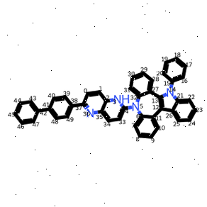 C1=CC2NC(N3c4ccccc4-c4c(n(-c5ccccc5)c5ccccc45)-c4ccccc43)=CC=C2N=C1c1ccc(-c2ccccc2)cc1